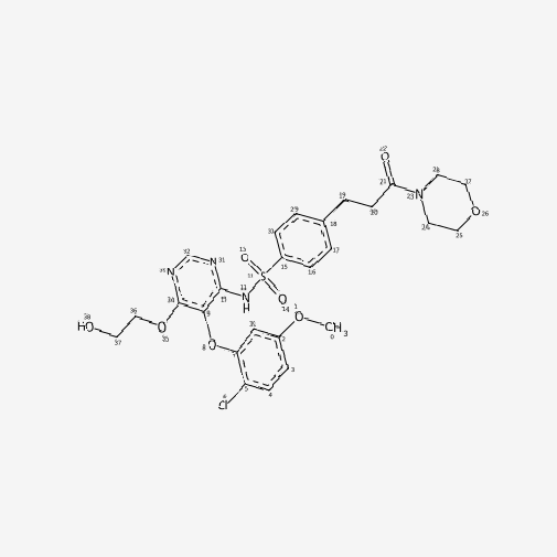 COc1ccc(Cl)c(Oc2c(NS(=O)(=O)c3ccc(CCC(=O)N4CCOCC4)cc3)ncnc2OCCO)c1